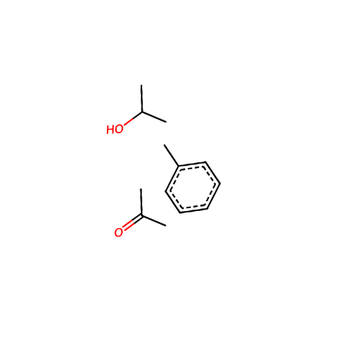 CC(C)=O.CC(C)O.Cc1ccccc1